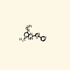 CCCO/N=C1\CCN(C)c2nnc(-c3cnc(-c4cccnc4)s3)nc21